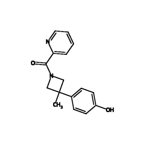 CC1(c2ccc(O)cc2)CN(C(=O)c2ccccn2)C1